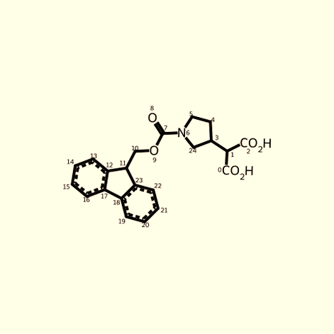 O=C(O)C(C(=O)O)C1CCN(C(=O)OCC2c3ccccc3-c3ccccc32)C1